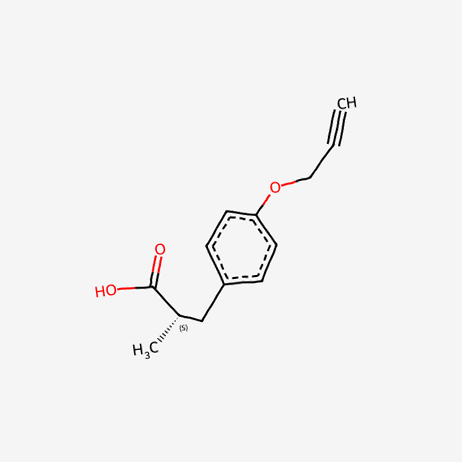 C#CCOc1ccc(C[C@H](C)C(=O)O)cc1